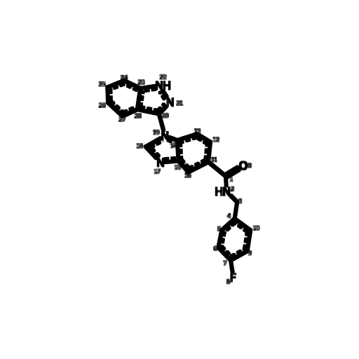 O=C(NCc1ccc(F)cc1)c1ccc2c(c1)ncn2-c1n[nH]c2ccccc12